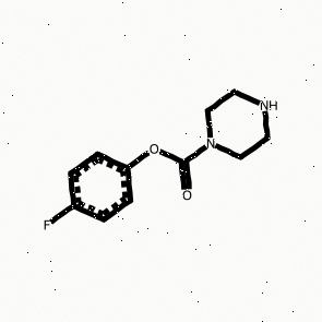 O=C(Oc1ccc(F)cc1)N1CCNCC1